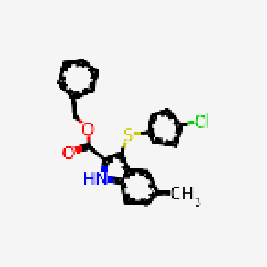 Cc1ccc2[nH]c(C(=O)OCc3ccccc3)c(Sc3ccc(Cl)cc3)c2c1